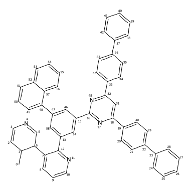 CC1C=CN=CC1c1cccnc1-c1cc(-c2nc(-c3ccc(-c4ccccc4)cc3)cc(-c3ccc(-c4ccccc4)cc3)n2)cc(-c2cccc3ccccc23)c1